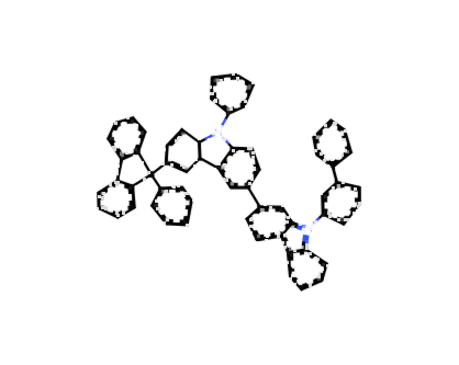 C1=CC2C(C=C1C1(c3ccccc3)c3ccccc3-c3ccccc31)c1cc(-c3ccc4c5ccccc5n(-c5cccc(-c6ccccc6)c5)c4c3)ccc1N2c1ccccc1